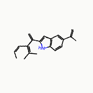 C=C(C)c1ccc2[nH]c(C(=C)C(/C=C\C)=C(C)C)cc2c1